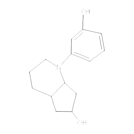 Cc1cccc(N2CCCC3CC(O)CC32)c1